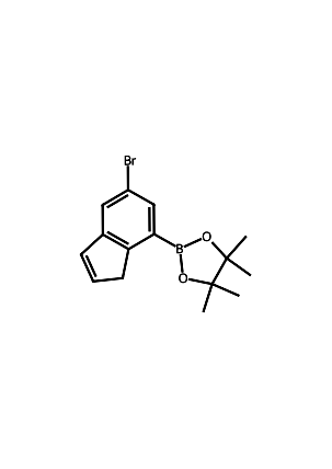 CC1(C)OB(c2cc(Br)cc3c2CC=C3)OC1(C)C